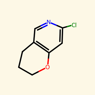 Clc1cc2c(cn1)CCCO2